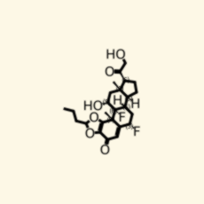 CCCC1OC2=C(O1)[C@@]1(C)C(=CC2=O)[C@@H](F)C[C@H]2[C@@H]3CC[C@H](C(=O)CO)[C@@]3(C)C[C@H](O)[C@@]21F